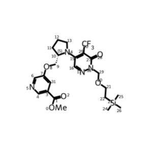 COC(=O)c1cncc(OC[C@@H]2CCCN2c2cnn(COCC[Si](C)(C)C)c(=O)c2C(F)(F)F)c1